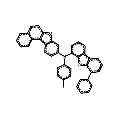 Cc1ccc(N(c2ccc3c(c2)oc2ccc4ccccc4c23)c2cccc3c2oc2c(-c4ccccc4)cccc23)cc1